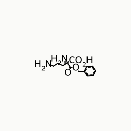 NCCC[C@@](N)(C(=O)O)C(=O)OCc1ccccc1